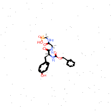 C[C@H](NC(=O)[C@H](Cc1ccc(O)cc1)NC(=O)OCc1ccccc1)C(=O)N[C@@H](C)[PH](=O)O